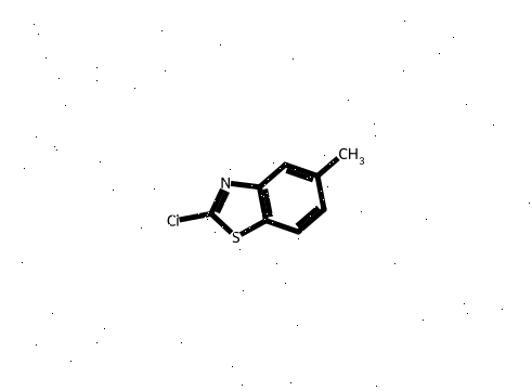 Cc1ccc2sc(Cl)nc2c1